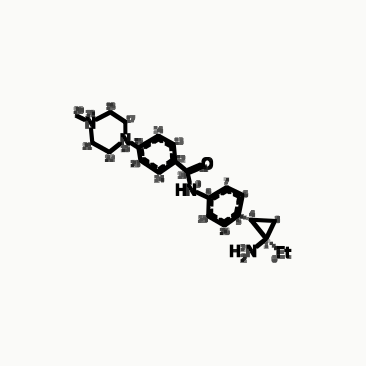 CC[C@@]1(N)C[C@H]1c1ccc(NC(=O)c2ccc(N3CCN(C)CC3)cc2)cc1